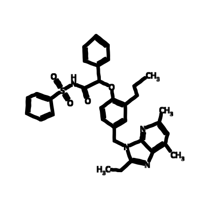 CCCc1cc(Cn2c(CC)nc3c(C)cc(C)nc32)ccc1OC(C(=O)NS(=O)(=O)c1ccccc1)c1ccccc1